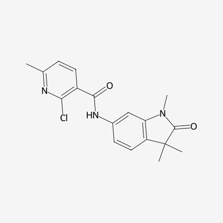 Cc1ccc(C(=O)Nc2ccc3c(c2)N(C)C(=O)C3(C)C)c(Cl)n1